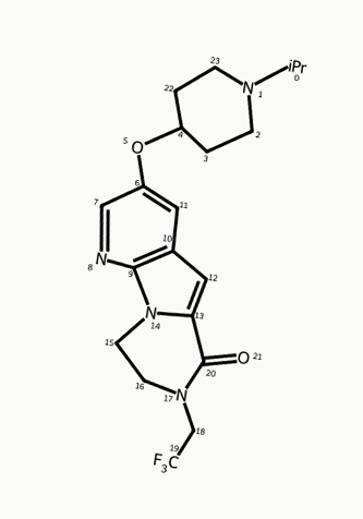 CC(C)N1CCC(Oc2cnc3c(c2)cc2n3CCN(CC(F)(F)F)C2=O)CC1